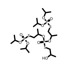 CC(O)CSP(=O)(OC(C)CSP(=O)(OC(C)C)OC(C)C)OC(C)CSP(=O)(OC(C)C)OC(C)C